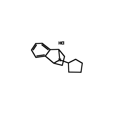 Cl.c1ccc2c(c1)C1CCC2N1C1CCCC1